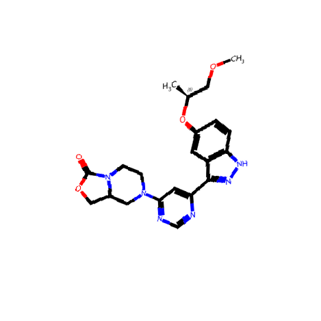 COC[C@H](C)Oc1ccc2[nH]nc(-c3cc(N4CCN5C(=O)OCC5C4)ncn3)c2c1